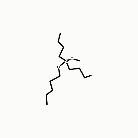 CCCCCO[Si](CCCC)(CCCC)OC